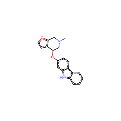 CN1Cc2occc2C(Oc2ccc3c(c2)[nH]c2ccccc23)C1